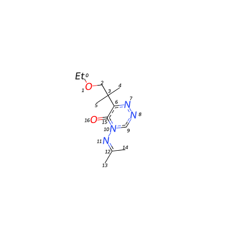 CCOCC(C)(C)c1nncn(N=C(C)C)c1=O